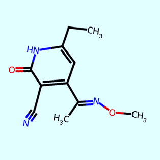 CCc1cc(C(C)=NOC)c(C#N)c(=O)[nH]1